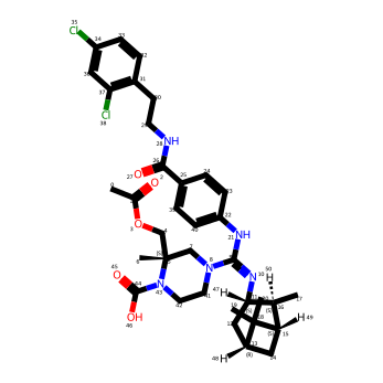 CC(=O)OC[C@]1(C)CN(C(=N[C@H]2C[C@H]3C[C@@H]([C@@H]2C)C3(C)C)Nc2ccc(C(=O)NCCc3ccc(Cl)cc3Cl)cc2)CCN1C(=O)O